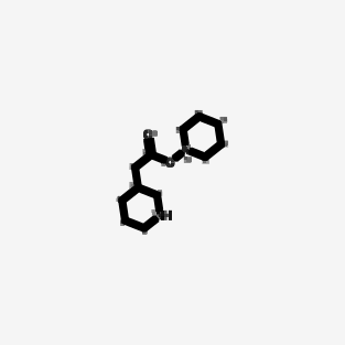 O=C(CC1CCCNC1)ON1CCCCC1